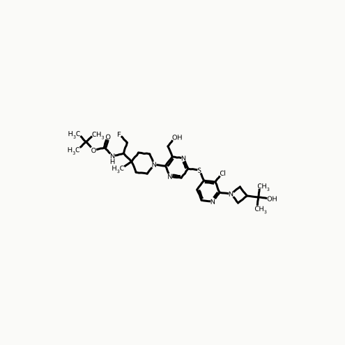 CC(C)(C)OC(=O)NC(CF)C1(C)CCN(c2ncc(Sc3ccnc(N4CC(C(C)(C)O)C4)c3Cl)nc2CO)CC1